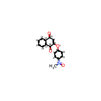 C[N+](=O)c1ccc(OC2=CC(=O)c3ccccc3C2=O)cc1